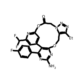 CCc1nnn2c1COc1nc(N)nc(-c3ccc(F)cc3)c1-c1cc(nc(C(F)F)c1)OC(=O)C2